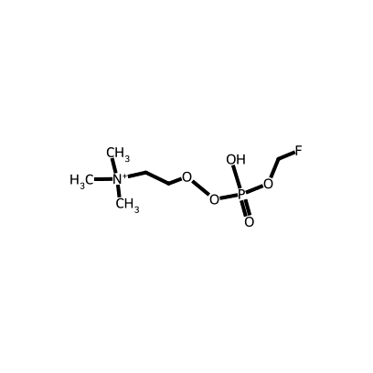 C[N+](C)(C)CCOOP(=O)(O)OCF